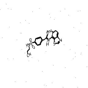 CC(=O)Oc1ccc2ncsc2c1NC(=O)c1ccc(S(=O)(=O)NCCC#N)cc1